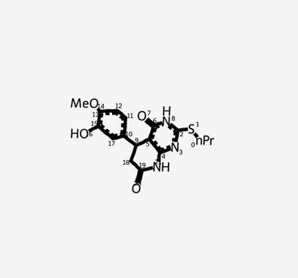 CCCSc1nc2c(c(=O)[nH]1)C(c1ccc(OC)c(O)c1)CC(=O)N2